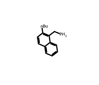 CCCCc1ccc2ccccc2c1CP